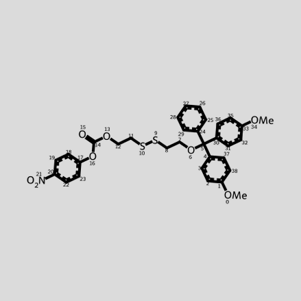 COc1ccc(C(OCCSSCCOC(=O)Oc2ccc([N+](=O)[O-])cc2)(c2ccccc2)c2ccc(OC)cc2)cc1